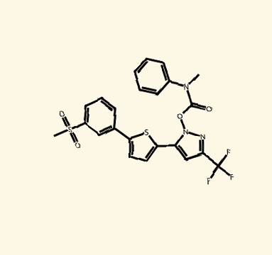 CN(C(=O)On1nc(C(F)(F)F)cc1-c1ccc(-c2cccc(S(C)(=O)=O)c2)s1)c1ccccc1